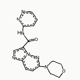 O=C(Nc1cccnn1)c1cnc2ccc(N3CCOCC3)nn12